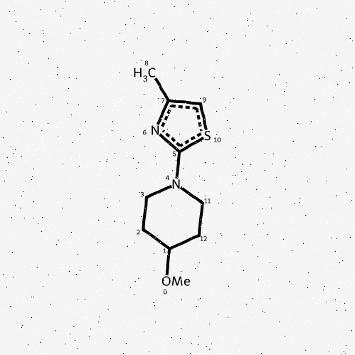 COC1CCN(c2nc(C)cs2)CC1